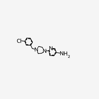 Nc1ccc(N2CCN(Cc3cccc(Cl)c3)CC2)nc1